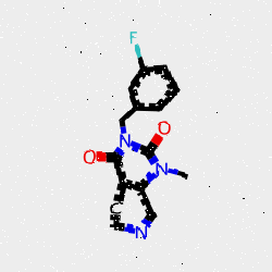 Cn1c(=O)n(Cc2cccc(F)c2)c(=O)c2ccncc21